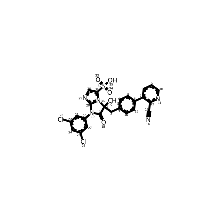 CC1(Cc2ccc(-c3cccnc3C#N)cc2)C(=O)N(c2cc(Cl)cc(Cl)c2)c2ncc(S(=O)(=O)O)n21